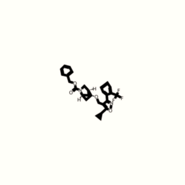 O=C(OCc1ccccc1)N1C[C@@H]2C[C@H]1C[C@H]2OCc1c(-c2ccccc2C(F)(F)F)noc1C1CC1